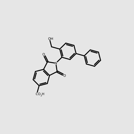 O=C(O)c1ccc2c(c1)C(=O)N(c1cc(-c3ccccc3)ccc1CO)C2=O